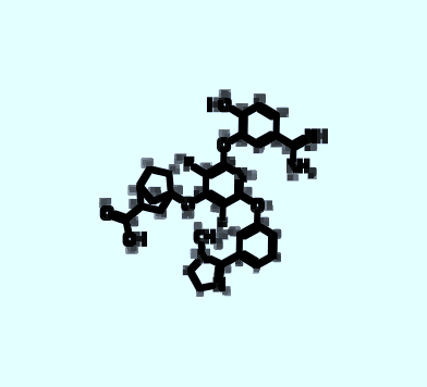 CN1CCN=C1c1cccc(Oc2nc(Oc3cc(C(=N)N)ccc3O)c(F)c(OC34CCC(C3)C(C(=O)O)C4)c2F)c1